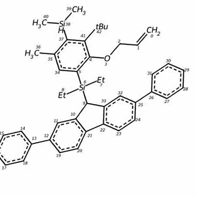 C=CCOc1c([Si](CC)(CC)C2c3cc(-c4ccccc4)ccc3-c3ccc(-c4ccccc4)cc32)cc(C)c([SiH](C)C)c1C(C)(C)C